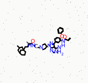 C=CC(=O)Nc1cc(-c2nn(C3CCN(CCNC(=O)[C@H](C)CCC45CCCC(CC(C)C4)C5)CC3)c3ncnc(N)c23)ccc1Oc1ccccc1